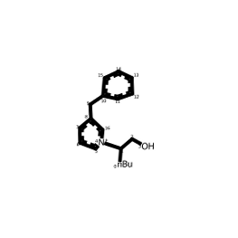 CCCCC(CO)[n+]1cccc(Cc2ccccc2)c1